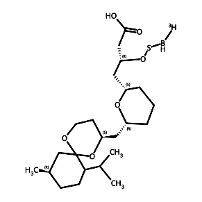 [3H]BSO[C@@H](CC(=O)O)C[C@@H]1CCC[C@H](C[C@@H]2CCOC3(C[C@H](C)CCC3C(C)C)O2)O1